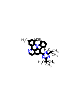 Cc1cc(C)c2c(c1)c1nccc3cc(-c4nc(C(C)(C)C)nc(C(C)(C)C)n4)c4c5cccc(C)c5n2c4c31